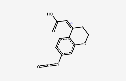 O=C=Nc1ccc2c(c1)OCC/C2=C/C(=O)O